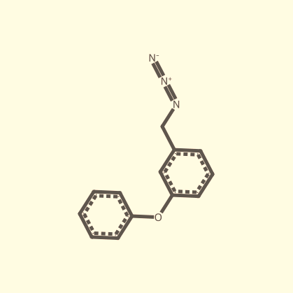 [N-]=[N+]=NCc1cccc(Oc2ccccc2)c1